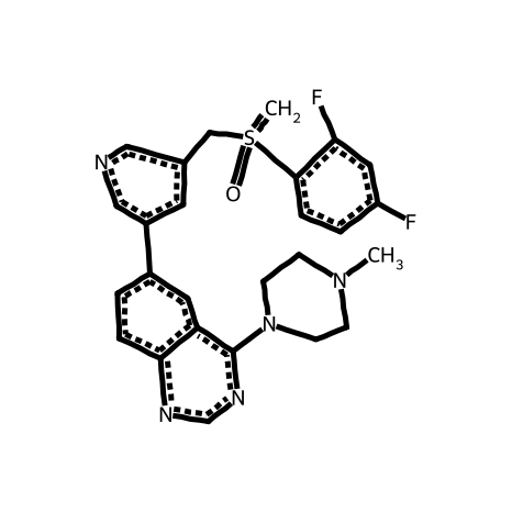 C=S(=O)(Cc1cncc(-c2ccc3ncnc(N4CCN(C)CC4)c3c2)c1)c1ccc(F)cc1F